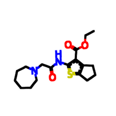 CCOC(=O)c1c(NC(=O)CN2CCCCCC2)sc2c1CCC2